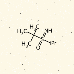 CC(C)S(=N)(=O)C(C)(C)C